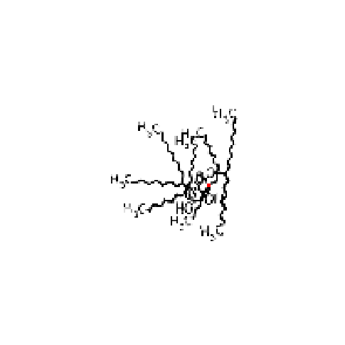 CCCCCCCCCCC(CCCCCCCC)C(CCCCCCCC)(CCCCCCCC)OC(=O)CC(O)(CC(=O)O)C(=O)OC(CCCCCCCC)(CCCCCCCC)C(CCCCCCCC)CCCCCCCCCC